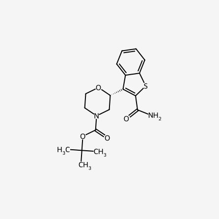 CC(C)(C)OC(=O)N1CCO[C@H](c2c(C(N)=O)sc3ccccc23)C1